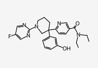 CCN(CC)C(=O)c1ccc(C2(c3cccc(O)c3)CCCN(c3ncc(F)cn3)C2)nc1